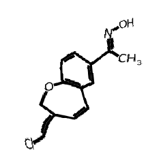 C/C(=N\O)c1ccc2c(c1)C=C/C(=C/Cl)CO2